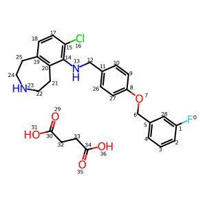 Fc1cccc(COc2ccc(CNc3c(Cl)ccc4c3CCNCC4)cc2)c1.O=C(O)CCC(=O)O